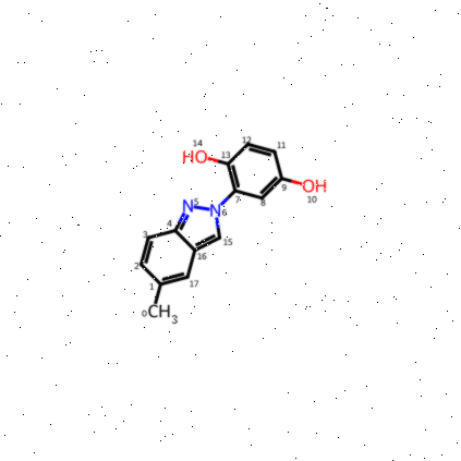 Cc1ccc2nn(-c3cc(O)ccc3O)cc2c1